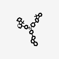 CC1(C)c2ccccc2-c2ccc(-c3ccc(N(c4ccc(-c5ccc6c(ccc7ccccc76)c5)cc4)c4ccc(-c5cccc6c5C(C)(C)c5ccccc5-6)cc4)cc3)cc21